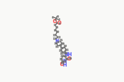 CC(C)(C)OC(=O)CCCCCCCN1CCC(c2ccc(N[C@H]3CCC(=O)NC3=O)cc2)CC1